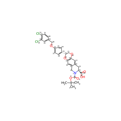 CC(C)(C)OC(=O)N1Cc2cc3c(cc2C[C@H]1C(=O)O)OC[C@@H](c1ccc(OCc2ccc(Cl)c(Cl)c2)cc1)O3